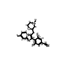 Cc1ccn2c(CC3CN(C)CCO3)c(-c3c(F)cc(C#N)cc3F)nc2c1